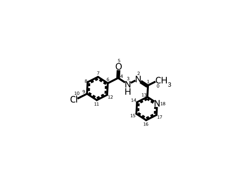 CC(=NNC(=O)c1ccc(Cl)cc1)c1ccccn1